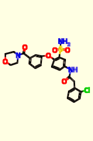 NS(=O)(=O)c1cc(NC(=O)Cc2ccccc2Cl)ccc1Oc1cccc(C(=O)N2CCOCC2)c1